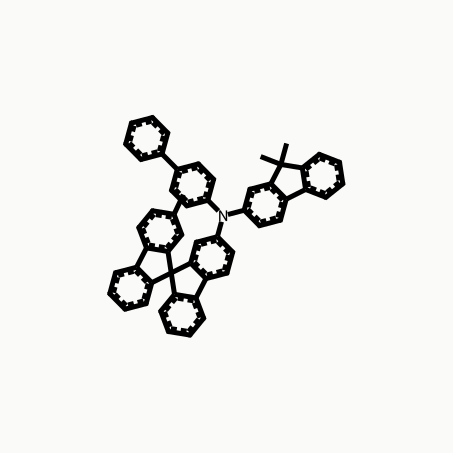 Cc1ccc2c(c1)C1(c3ccccc3-2)c2ccccc2-c2ccc(N(c3ccc(-c4ccccc4)cc3)c3ccc4c(c3)C(C)(C)c3ccccc3-4)cc21